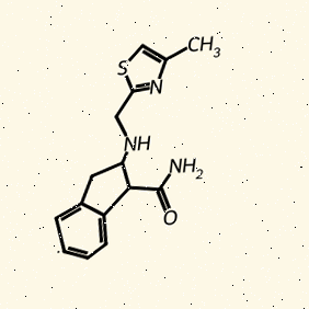 Cc1csc(CNC2Cc3c[c]ccc3C2C(N)=O)n1